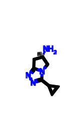 N[C@H]1Cc2nnc(C3CC3)n2C1